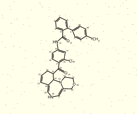 Cc1ccc(-c2ccccc2C(=O)Nc2ccc(C(=O)C3CC=CC4=CNC=C5COCCN5C43)c(Cl)c2)cc1